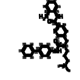 CN(C)CCCN(Cc1ccc(C(=O)Nc2ccccc2N)nc1)C(=O)Nc1ccc(-c2ccccc2)cc1